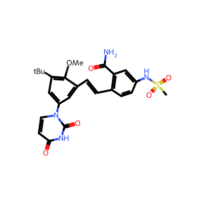 COc1c(C=Cc2ccc(NS(C)(=O)=O)cc2C(N)=O)cc(-n2ccc(=O)[nH]c2=O)cc1C(C)(C)C